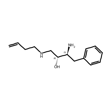 C=CCCNC[C@@H](O)[C@@H](N)Cc1ccccc1